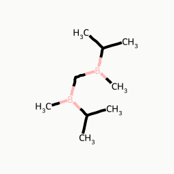 CB(CB(C)C(C)C)C(C)C